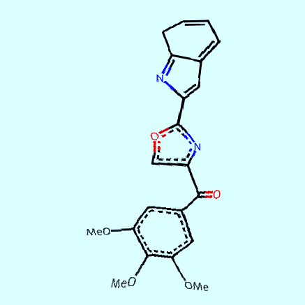 COc1cc(C(=O)c2coc(C3=CC4=CC=CCC4=N3)n2)cc(OC)c1OC